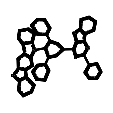 c1ccc(-c2nc(-c3cc(-c4ccccc4)c(-n4c5ccccc5c5cc6oc7ccccc7c6cc54)c(-c4ccccc4)c3)c3oc4ccccc4c3n2)cc1